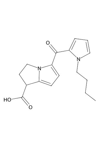 CCCCn1cccc1C(=O)c1ccc2n1CCC2C(=O)O